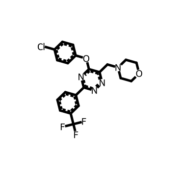 FC(F)(F)c1cccc(-c2nnc(CN3CCOCC3)c(Oc3ccc(Cl)cc3)n2)c1